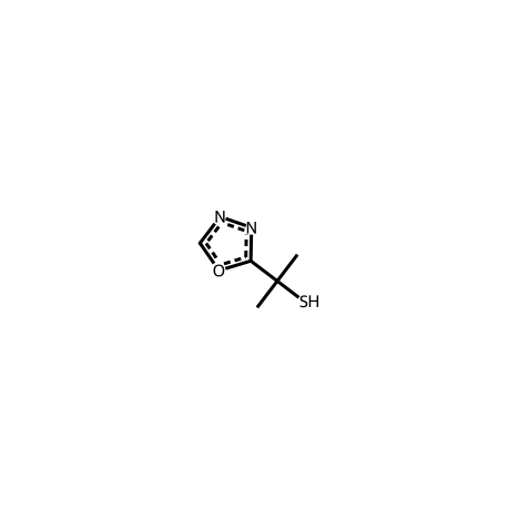 CC(C)(S)c1nnco1